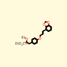 CCOC(=O)[C@H](Cc1ccc(OCC=Cc2cccc3c2OCO3)cc1)OCC